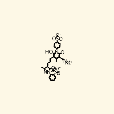 CC1=NN(c2ccccc2S(=O)(=O)[O-])C(=O)C1=CC=Cc1c(C)c(C#N)c(=O)n(-c2ccc(S(=O)(=O)[O-])cc2)c1O.[K+].[K+]